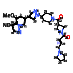 COc1cc(-c2cnn(C3CCN(C(=O)C4CN(C(=O)/C=C/CN5CCCC5)C4)CC3)c2)cn2ncc(C#N)c12